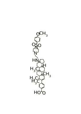 COc1ccc(S(=O)(=O)N2CCN(CCN[C@]34CCCC3[C@H]3CCC5[C@@](C)(CCC6C(C)(C)C(c7ccc(C(=O)O)cc7)=CC[C@@]65C)C3CC4)CC2)cc1